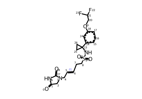 O=C1CN(C/C=C/CCS(=O)(=O)NC2(c3cccc(OCC(F)F)c3)CC2)C(=O)N1